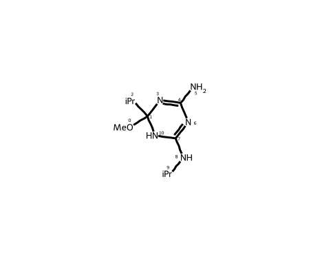 COC1(C(C)C)N=C(N)N=C(NC(C)C)N1